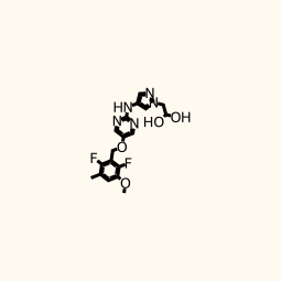 COc1cc(C)c(F)c(COc2cnc(Nc3cnn(CC(O)O)c3)nc2)c1F